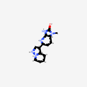 Cn1c(=O)[nH]c2nc(-c3cnn4ccccc34)ccc21